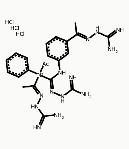 CC(=O)[N+](C(C)=NNC(=N)N)(C(=NNC(=N)N)Nc1cccc(C(C)=NNC(=N)N)c1)c1ccccc1.Cl.Cl.Cl